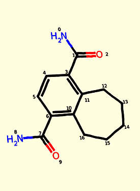 NC(=O)c1ccc(C(N)=O)c2c1CCCCC2